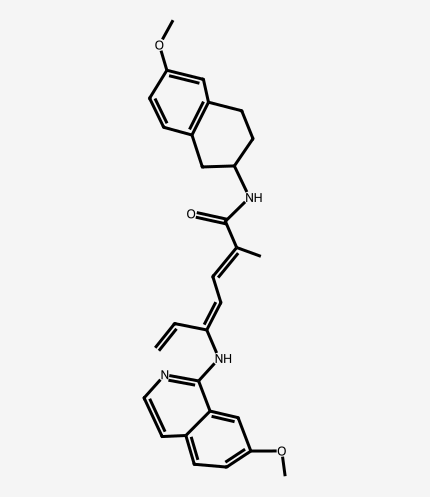 C=C/C(=C\C=C(/C)C(=O)NC1CCc2cc(OC)ccc2C1)Nc1nccc2ccc(OC)cc12